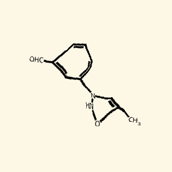 CC1=CN(c2cccc(C=O)c2)NO1